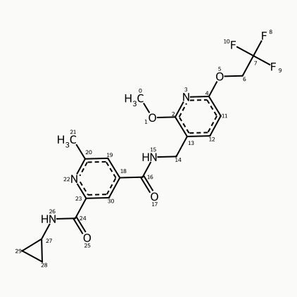 COc1nc(OCC(F)(F)F)ccc1CNC(=O)c1cc(C)nc(C(=O)NC2CC2)c1